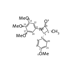 COc1[c]cc([C@H]2[C@@H](C)C(=O)N2c2cc(OC)c(OC)c(OC)c2)cc1